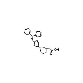 O=C(O)CC1CCCC(c2ccc(N=C(c3ccccc3)c3ccccc3)cc2)C1